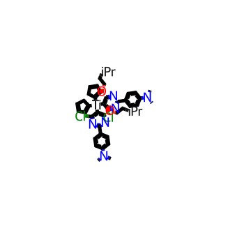 CC(C)CCOc1nc(-c2ccc(N(C)C)cc2)nc(Cl)[c]1[Ti]([C]1=CC=CC1)([C]1=CC=CC1)[c]1c(Cl)nc(-c2ccc(N(C)C)cc2)nc1OCCC(C)C